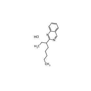 CCCCCC(CC)c1ncc2ccccc2n1.Cl